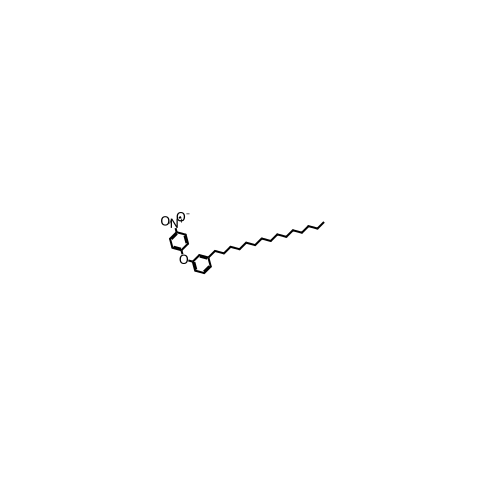 CCCCCCCCCCCCCCCc1cccc(Oc2ccc([N+](=O)[O-])cc2)c1